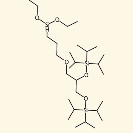 CCO[SiH](CCCOCC(CO[Si](C(C)C)(C(C)C)C(C)C)O[Si](C(C)C)(C(C)C)C(C)C)OCC